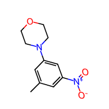 Cc1cc(N2CCOCC2)cc([N+](=O)[O-])c1